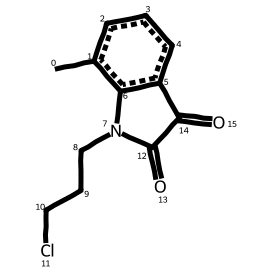 Cc1cccc2c1N(CCCCl)C(=O)C2=O